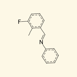 Cc1c(F)cccc1/C=N/c1ccccc1